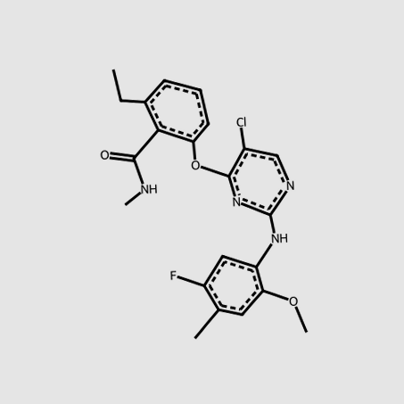 CCc1cccc(Oc2nc(Nc3cc(F)c(C)cc3OC)ncc2Cl)c1C(=O)NC